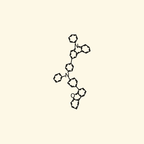 c1ccc(N(c2ccc(-c3ccc4c(c3)c3ccccc3n4-c3ccccc3)cc2)c2ccc(-c3cccc4c3oc3ccccc34)cc2)cc1